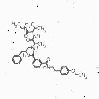 CCNC(=O)[C@@H](NC(=O)[C@H](C)NC[C@H](Cc1ccccc1)NC(=O)c1cccc(C(=O)NCCc2ccc(OCC)cc2)c1)C(C)C